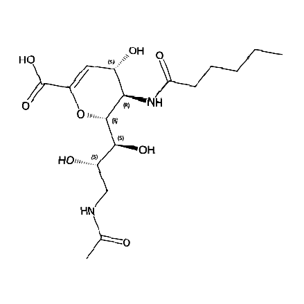 CCCCCC(=O)N[C@H]1[C@H]([C@@H](O)[C@@H](O)CNC(C)=O)OC(C(=O)O)=C[C@@H]1O